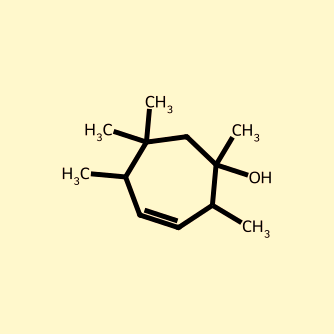 CC1C=CC(C)C(C)(O)CC1(C)C